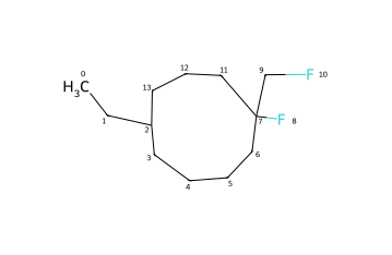 CCC1CCCCC(F)(CF)CCC1